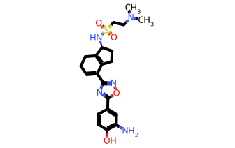 CN(C)CCS(=O)(=O)N[C@H]1CCC2=C1CCC=C2c1noc(-c2ccc(O)c(N)c2)n1